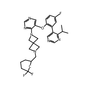 CC(C)c1ncncc1-c1cc(F)ccc1Oc1cncnc1N1CC2(CN(CC3CCCC(F)(F)C3)C2)C1